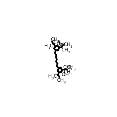 CCC(C)c1cc(CCCCCCCc2cc(C(C)CC)c(O)c(C(C)(C)CC)c2)cc(C(C)(C)CC)c1O